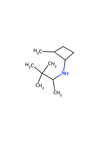 CC1CCC1NC(C)C(C)(C)C